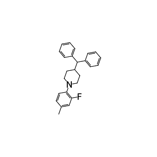 Cc1ccc(N2CCC(C(c3ccccc3)c3ccccc3)CC2)c(F)c1